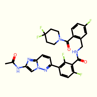 CC(=O)Nc1cn2nc(-c3ccc(F)c(C(=O)NCc4cc(F)ccc4C(=O)N4CCC(F)(F)CC4)c3F)ccc2n1